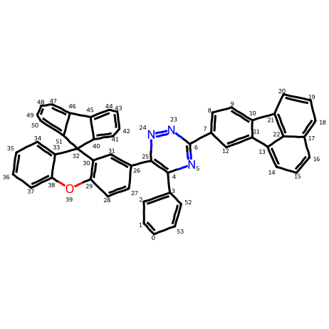 c1ccc(-c2nc(-c3ccc4c(c3)-c3cccc5cccc-4c35)nnc2-c2ccc3c(c2)C2(c4ccccc4O3)c3ccccc3-c3ccccc32)cc1